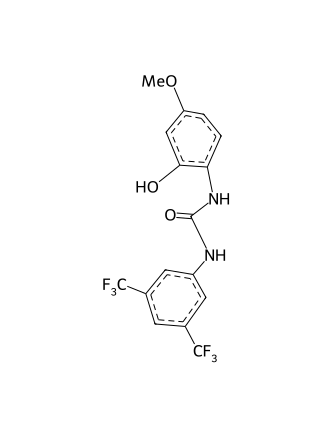 COc1ccc(NC(=O)Nc2cc(C(F)(F)F)cc(C(F)(F)F)c2)c(O)c1